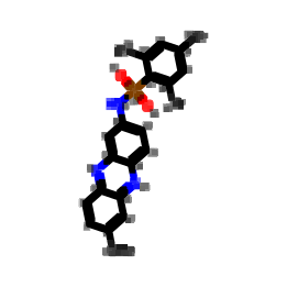 COc1ccc2nc3cc(NS(=O)(=O)c4c(C(C)C)cc(C(C)C)cc4C(C)C)ccc3nc2c1